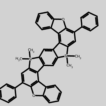 C[Si]1(C)c2cc3c(cc2-c2c1cc(-c1ccccc1)c1oc4ccccc4c21)[Si](C)(C)c1cc(-c2ccccc2)c2oc4ccccc4c2c1-3